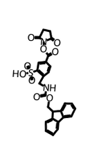 O=C(NCc1ccc(C(=O)ON2C(=O)CCC2=O)cc1S(=O)(=O)O)OCC1c2ccccc2-c2ccccc21